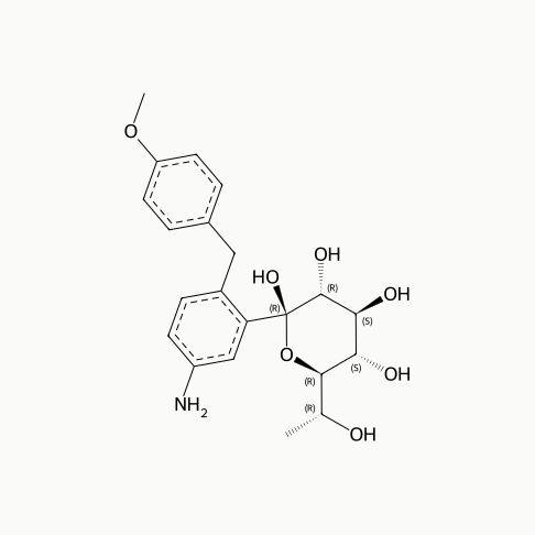 COc1ccc(Cc2ccc(N)cc2[C@@]2(O)O[C@H]([C@@H](C)O)[C@@H](O)[C@H](O)[C@H]2O)cc1